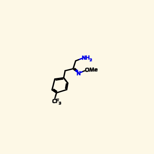 CON=C(CN)Cc1ccc(C(F)(F)F)cc1